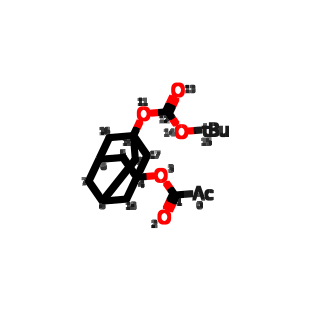 CC(=O)C(=O)OC12CC3CC(CC(OC(=O)OC(C)(C)C)(C3)C1)C2